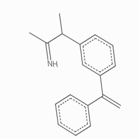 C=C(c1ccccc1)c1cccc(C(C)C(C)=N)c1